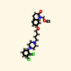 CCOCN1C(=O)CCc2ccc(OCCCCN3CCN(c4cccc(Cl)c4Cl)CC3)cc21